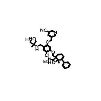 CCNC(=O)C1(COc2cc(OCc3cncc(C#N)c3)c(CNC(C)(CO)CO)cc2Cl)C=CC=C(c2ccccc2)C1(C)C